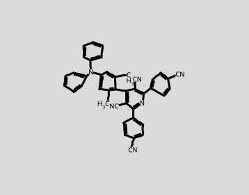 Cc1cc(N(c2ccccc2)c2ccccc2)cc(C)c1-c1c(C#N)c(-c2ccc(C#N)cc2)nc(-c2ccc(C#N)cc2)c1C#N